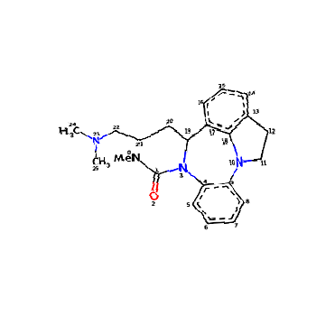 CNC(=O)N1c2ccccc2N2CCc3cccc(c32)C1CCCN(C)C